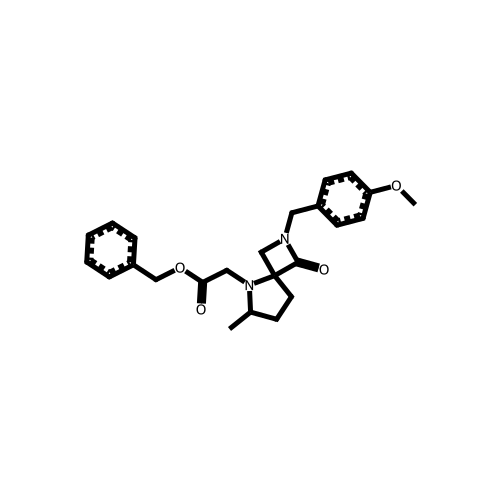 COc1ccc(CN2CC3(CCC(C)N3CC(=O)OCc3ccccc3)C2=O)cc1